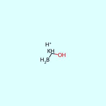 BCO.[H+].[KH]